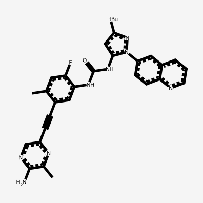 Cc1cc(F)c(NC(=O)Nc2cc(C(C)(C)C)nn2-c2ccc3ncccc3c2)cc1C#Cc1cnc(N)c(C)n1